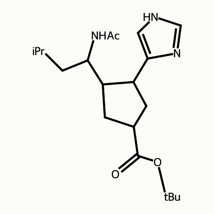 CC(=O)NC(CC(C)C)C1CC(C(=O)OC(C)(C)C)CC1c1c[nH]cn1